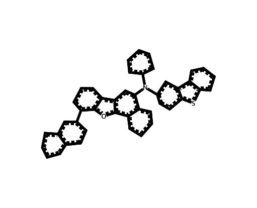 c1ccc(N(c2ccc3sc4ccccc4c3c2)c2cc3c4cccc(-c5ccc6ccccc6c5)c4oc3c3ccccc23)cc1